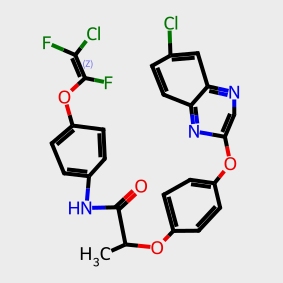 CC(Oc1ccc(Oc2cnc3cc(Cl)ccc3n2)cc1)C(=O)Nc1ccc(O/C(F)=C(\F)Cl)cc1